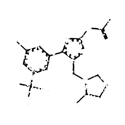 CC(=O)Nc1nc(-c2cc(C)cc(C(F)(F)F)c2)c(CN2CCCC2C)s1